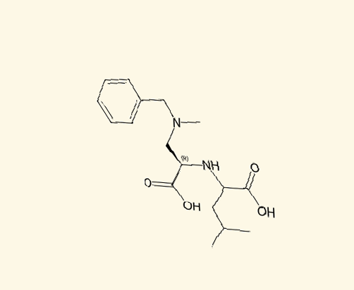 CC(C)CC(N[C@H](CN(C)Cc1ccccc1)C(=O)O)C(=O)O